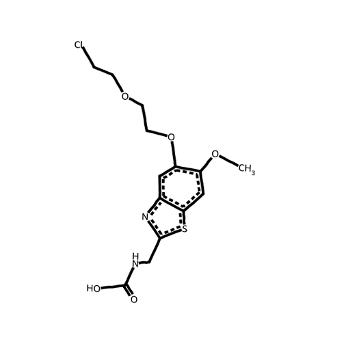 COc1cc2sc(CNC(=O)O)nc2cc1OCCOCCCl